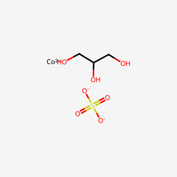 O=S(=O)([O-])[O-].OCC(O)CO.[Co+2]